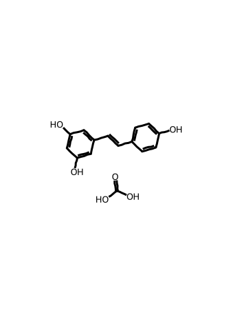 O=C(O)O.Oc1ccc(C=Cc2cc(O)cc(O)c2)cc1